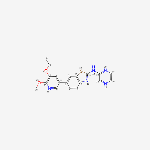 CCOc1cc(-c2ccc3nc(Nc4cnccn4)sc3c2)cnc1OC